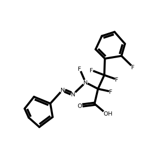 O=C(O)C(F)(N(F)N=Nc1ccccc1)C(F)(F)c1ccccc1F